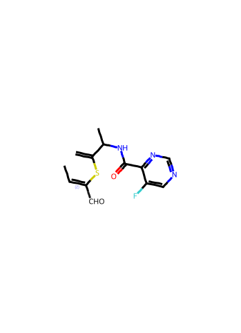 C=C(S/C(C=O)=C\C)C(C)NC(=O)c1ncncc1F